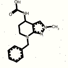 Cn1cc2c(n1)N(Cc1ccccc1)CCC2NC(=O)O